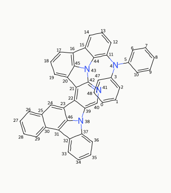 c1ccc(N(c2ccccc2)c2cccc3c4cccc5c6c7c8cc9ccccc9c9c%10ccccc%10n(c7cnc6n(c23)c45)c89)cc1